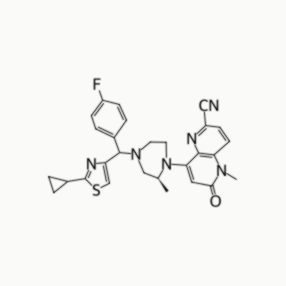 C[C@H]1CN(C(c2ccc(F)cc2)c2csc(C3CC3)n2)CCN1c1cc(=O)n(C)c2ccc(C#N)nc12